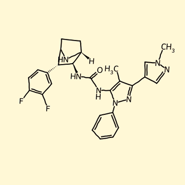 Cc1c(-c2cnn(C)c2)nn(-c2ccccc2)c1NC(=O)N[C@H]1[C@H](c2ccc(F)c(F)c2)C2CC[C@H]1N2